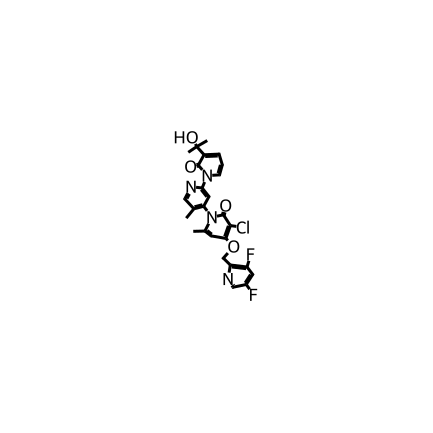 Cc1cnc(-n2cccc(C(C)(C)O)c2=O)cc1-n1c(C)cc(OCc2ncc(F)cc2F)c(Cl)c1=O